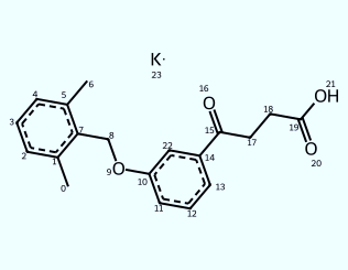 Cc1cccc(C)c1COc1cccc(C(=O)CCC(=O)O)c1.[K]